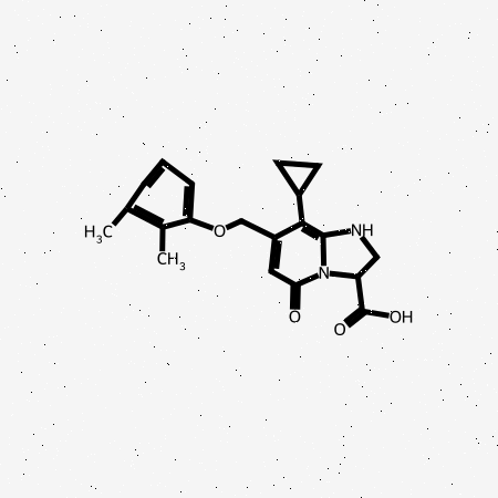 Cc1cccc(OCc2cc(=O)n3c(c2C2CC2)NCC3C(=O)O)c1C